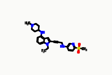 CN1CCC(Nc2cccc3c2cc(C#CCNc2ccc(S(C)(=O)=O)nc2)n3CC(F)(F)F)CC1